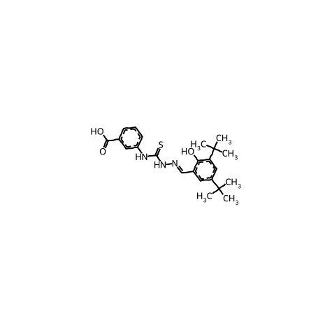 CC(C)(C)c1cc(/C=N/NC(=S)Nc2cccc(C(=O)O)c2)c(O)c(C(C)(C)C)c1